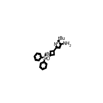 CC(C)(C)n1nc(C2CC(O[Si](c3ccccc3)(c3ccccc3)C(C)(C)C)C2)cc1N